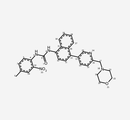 Cc1ccc(NC(=O)Nc2ccc(-c3ccc(CN4CCOCC4)nc3)c3ccccc23)c([N+](=O)[O-])c1